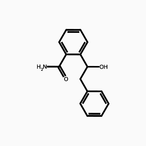 NC(=O)c1ccccc1C(O)Cc1ccccc1